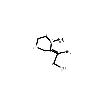 N/C(CO)=C1/COCCN1N